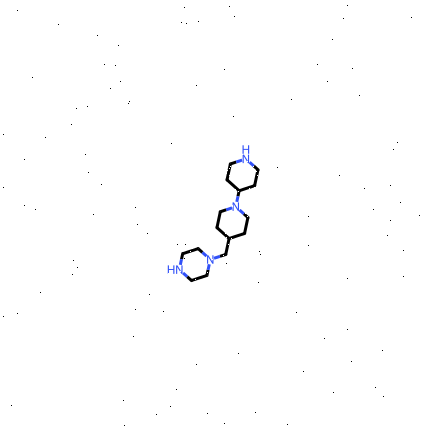 C1CC(N2CCC(CN3CCNCC3)CC2)CCN1